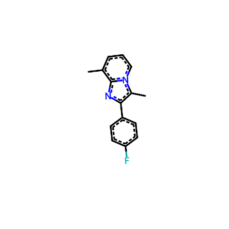 Cc1cccn2c(C)c(-c3ccc(F)cc3)nc12